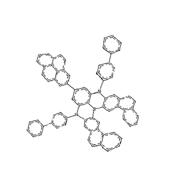 c1ccc(-c2ccc(N3c4cc5ccc6ccccc6c5cc4B4c5cc6c(ccc7ccccc76)cc5N(c5ccc(-c6ccccc6)cc5)c5cc(-c6cc7ccc8cccc9ccc(c6)c7c89)cc3c54)cc2)cc1